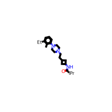 CCc1cccc(N2CCN(CCC3CC(NC(=O)C(C)C)C3)CC2)c1C